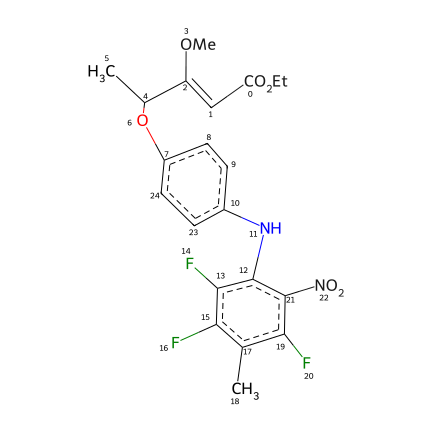 CCOC(=O)C=C(OC)C(C)Oc1ccc(Nc2c(F)c(F)c(C)c(F)c2[N+](=O)[O-])cc1